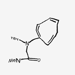 CCCN(C(=O)NC)c1ccccc1